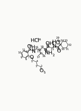 COCCCCOc1ccccc1C(=O)NC[C@@H](C[C@H](N)[C@@H](O)CNC(=O)C1(OC)CCCCC1)C(C)C.Cl